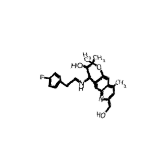 Cc1cc(CO)nc2cc3c(cc12)OC(C)(C)C(O)C3NCCc1ccc(F)cc1